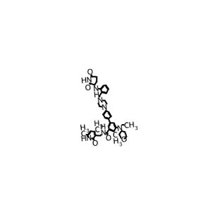 CCN(c1cc(-c2ccc(N3CCN(Cc4ccccc4NC4CCC(=O)NC4=O)CC3)cc2)cc(C(=O)NCc2c(C)cc(C)[nH]c2=O)c1C)C1CCOCC1